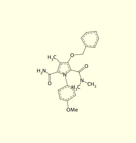 COc1ccc(-n2c(C(N)=O)c(C)c(OCc3ccccc3)c2C(=O)N(C)C)cc1